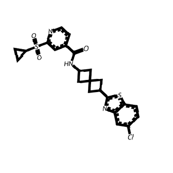 O=C(NC1CC2(C1)CC(c1nc3cc(Cl)ccc3s1)C2)c1ccnc(S(=O)(=O)C2CC2)c1